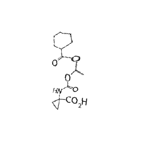 CC(OC(=O)NC1(C(=O)O)CC1)OC(=O)C1CCCCC1